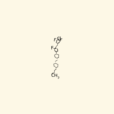 CCCCC[C@H]1CC[C@H](CC[C@H]2CC[C@H](c3ccc(CCc4cc(F)c(Cl)c(F)c4)c(F)c3)CC2)CC1